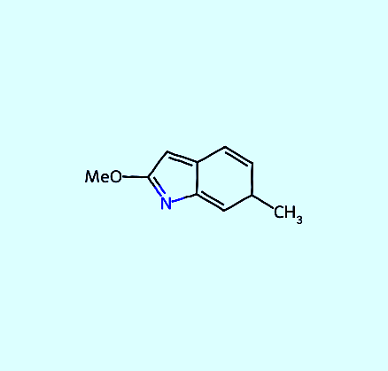 COC1=NC2=CC(C)C=CC2=C1